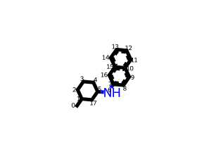 CC1CCCC(Nc2ccc3ccccc3c2)C1